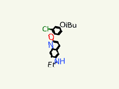 CCNc1ccc2nc(Oc3ccc(OCC(C)C)cc3Cl)ccc2c1